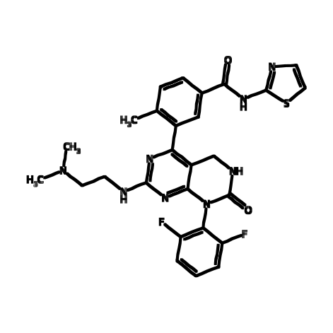 Cc1ccc(C(=O)Nc2nccs2)cc1-c1nc(NCCN(C)C)nc2c1CNC(=O)N2c1c(F)cccc1F